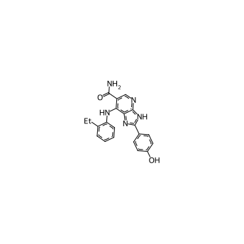 CCc1ccccc1Nc1c(C(N)=O)cnc2[nH]c(-c3ccc(O)cc3)nc12